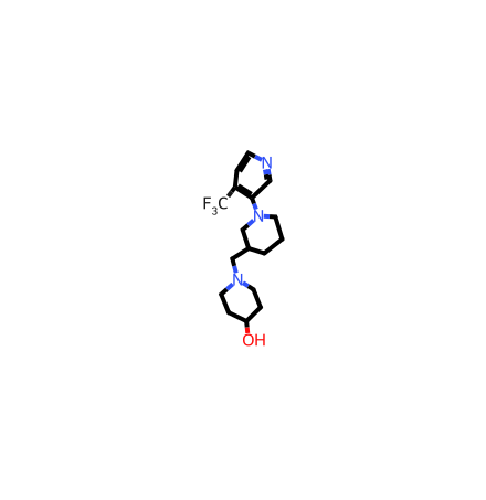 OC1CCN(CC2CCCN(c3cnccc3C(F)(F)F)C2)CC1